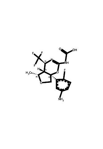 C[C@H]1OC[C@]2(c3cc(N)ccc3F)OC(NC(=O)O)=N[C@H](C(F)(F)F)[C@@H]12